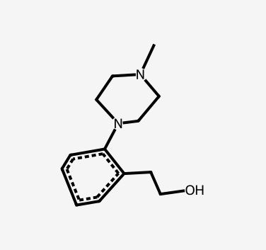 CN1CCN(c2ccccc2CCO)CC1